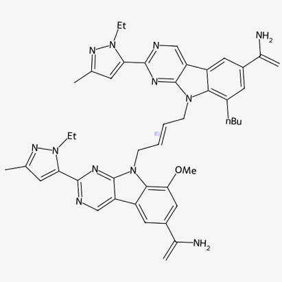 C=C(N)c1cc(CCCC)c2c(c1)c1cnc(-c3cc(C)nn3CC)nc1n2C/C=C/Cn1c2nc(-c3cc(C)nn3CC)ncc2c2cc(C(=C)N)cc(OC)c21